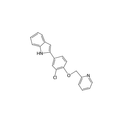 Clc1cc(-c2cc3ccccc3[nH]2)ccc1OCc1ccccn1